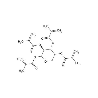 C=C(C)C(=O)OC1COC(OC(=O)C(=C)C)[C@@H](OC(=O)C(=C)C)[C@@H]1OC(=O)C(=C)C